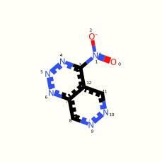 O=[N+]([O-])c1nnnc2cnncc12